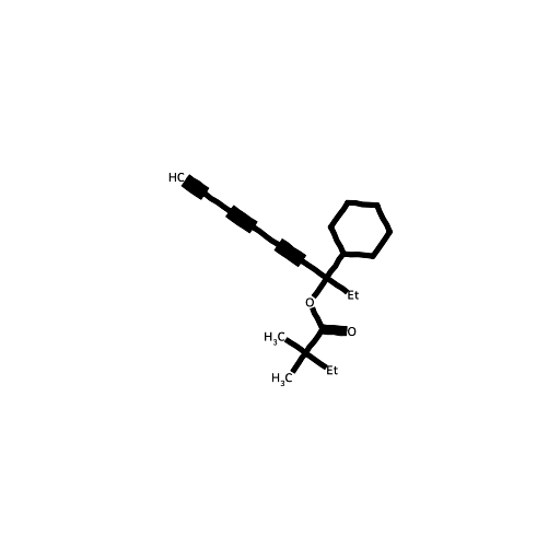 C#CC#CC#CC(CC)(OC(=O)C(C)(C)CC)C1CCCCC1